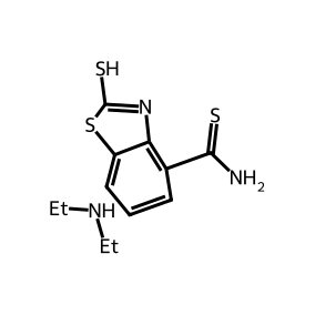 CCNCC.NC(=S)c1cccc2sc(S)nc12